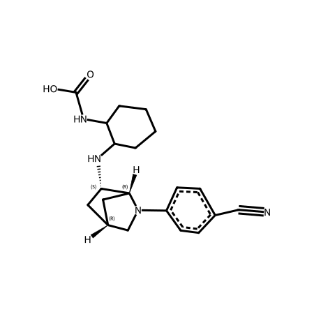 N#Cc1ccc(N2C[C@@H]3C[C@H](NC4CCCCC4NC(=O)O)[C@H]2C3)cc1